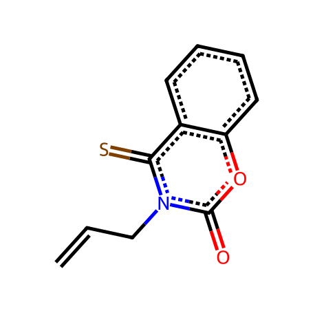 C=CCn1c(=O)oc2ccccc2c1=S